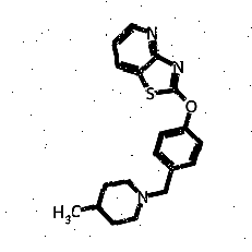 CC1CCN(Cc2ccc(Oc3nc4ncccc4s3)cc2)CC1